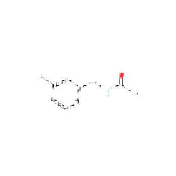 CC(C)C(=O)NCc1cccc(Cl)c1